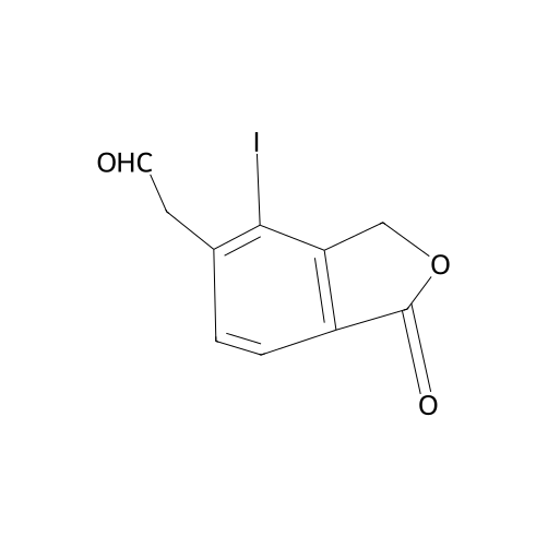 O=CCc1ccc2c(c1I)COC2=O